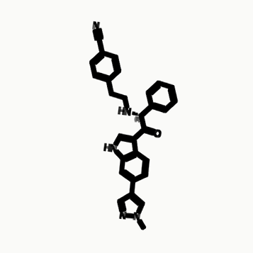 Cn1cc(-c2ccc3c(C(=O)[C@H](NCCc4ccc(C#N)cc4)c4ccccc4)c[nH]c3c2)cn1